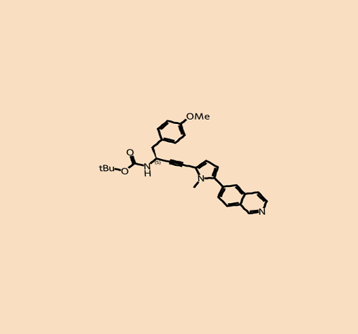 COc1ccc(C[C@@H](C#Cc2ccc(-c3ccc4cnccc4c3)n2C)NC(=O)OC(C)(C)C)cc1